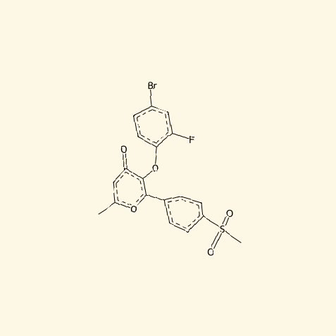 Cc1cc(=O)c(Oc2ccc(Br)cc2F)c(-c2ccc(S(C)(=O)=O)cc2)o1